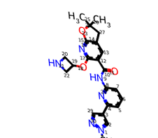 Cn1cc(-c2cccc(NC(=O)c3cc4c(nc3OC3CNC3)OC(C)(C)C4)n2)cn1